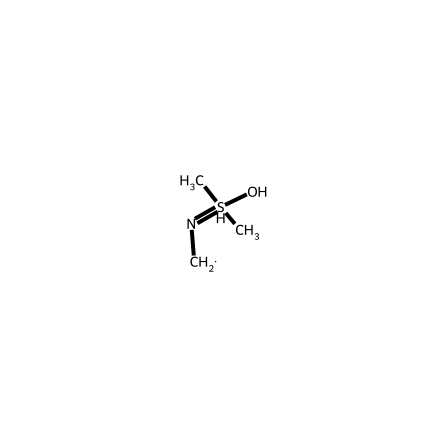 [CH2]N=[SH](C)(C)O